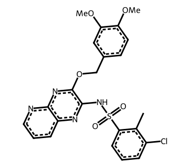 COc1ccc(COc2nc3ncccc3nc2NS(=O)(=O)c2cccc(Cl)c2C)cc1OC